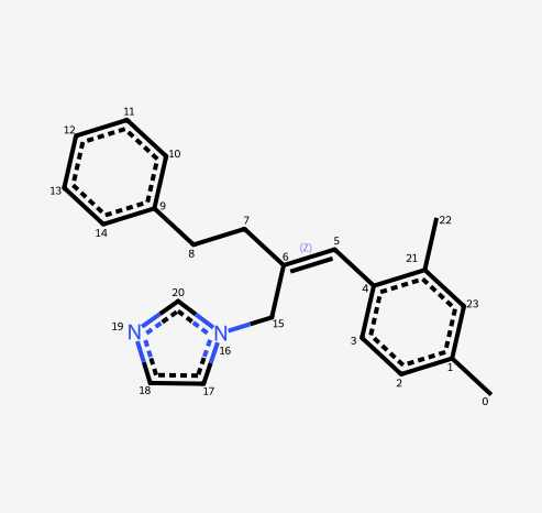 Cc1ccc(/C=C(/CCc2ccccc2)Cn2ccnc2)c(C)c1